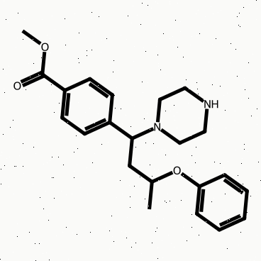 COC(=O)c1ccc(C(CC(C)Oc2ccccc2)N2CCNCC2)cc1